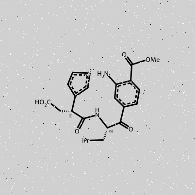 COC(=O)c1ccc(C(=O)[C@H](CC(C)C)NC(=O)[C@H](CC(=O)O)c2ccsc2)cc1N